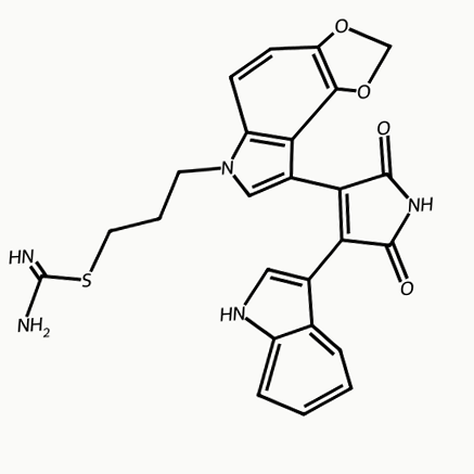 N=C(N)SCCCn1cc(C2=C(c3c[nH]c4ccccc34)C(=O)NC2=O)c2c3c(ccc21)OCO3